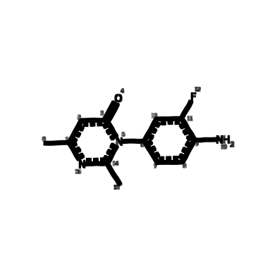 Cc1cc(=O)n(-c2ccc(N)c(F)c2)c(C)n1